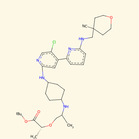 CC(CO[C@H](C)C(=O)OC(C)(C)C)NC1CCC(Nc2cc(-c3cccc(NCC4(C#N)CCOCC4)n3)c(Cl)cn2)CC1